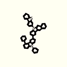 c1ccc(-c2cccc3c2c2cc(-c4ccc5c(c4)c4cc6ccccc6cc4n5-c4ccc5c(c4)sc4ccccc45)ccc2n3-c2ccccc2)cc1